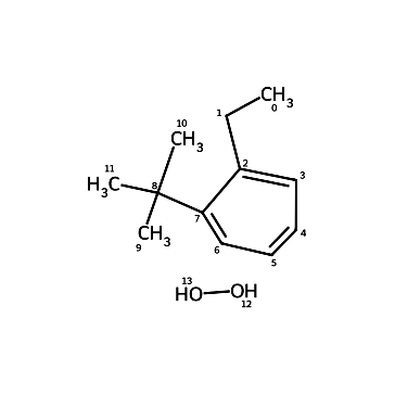 CCc1ccccc1C(C)(C)C.OO